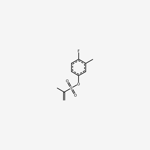 C=C(C)S(=O)(=O)Oc1ccc(F)c(C)c1